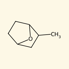 CC1CC2CCC1O2